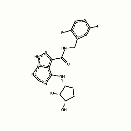 O=C(NCc1cc(F)ccc1F)c1n[nH]c2ncnc(N[C@@H]3CC[C@H](O)[C@@H]3O)c12